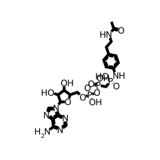 CC(=O)NCCc1ccc(NP(=O)(O)CP(=O)(O)OP(=O)(O)OCC2OC(n3cnc4c(N)ncnc43)C(O)C2O)cc1